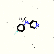 CN(c1ccncc1)c1ccc(F)cc1